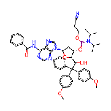 COc1ccc(C(c2ccccc2)(c2ccc(OC)cc2)C(O)[C@H]2O[C@@H](n3cnc4c(NC(=O)c5ccccc5)ncnc43)C[C@@H]2OP(OCCC#N)N(C(C)C)C(C)C)cc1